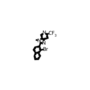 Cn1c(-c2ccc3ccccc3c2Br)nc2cc(C(F)(F)F)ncc21